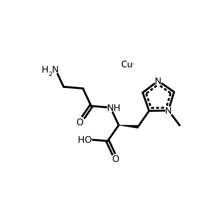 Cn1cncc1C[C@H](NC(=O)CCN)C(=O)O.[Cu]